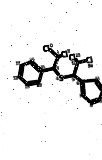 ClC(Cl)C(SC(c1ccccc1)C(Cl)Cl)c1ccccc1